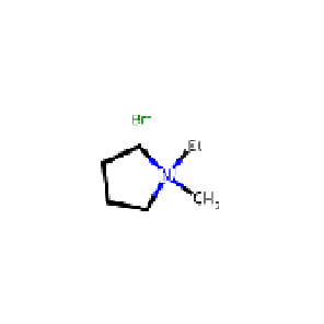 CC[N+]1(C)CCCC1.[Br-]